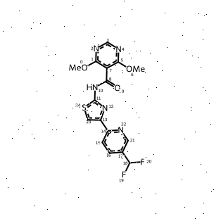 COc1ncnc(OC)c1C(=O)Nc1nc(-c2ccc(C(F)F)cn2)cs1